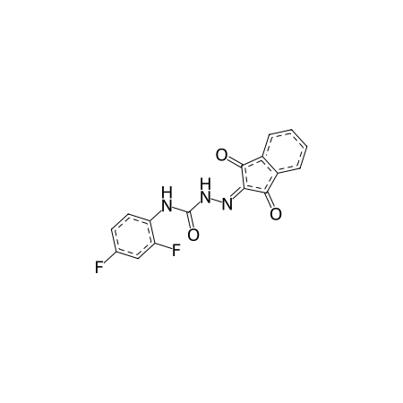 O=C(NN=c1c(=O)c2ccccc2c1=O)Nc1ccc(F)cc1F